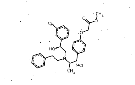 COC(=O)COc1ccc(CC(C)N(CCc2ccccc2)C[C@@H](O)c2cccc(Cl)c2)cc1.Cl